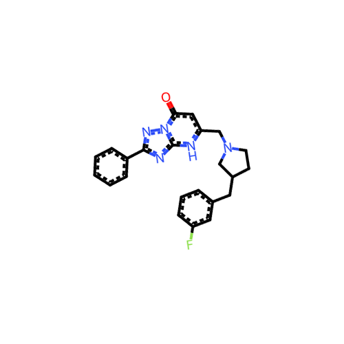 O=c1cc(CN2CCC(Cc3cccc(F)c3)C2)[nH]c2nc(-c3ccccc3)nn12